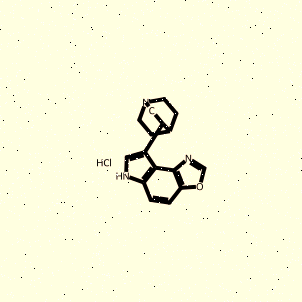 Cl.c1nc2c(ccc3[nH]cc(C4CN5CCC4CC5)c32)o1